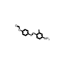 Cc1cc(N)ccc1N=Nc1ccc(OC=O)cc1